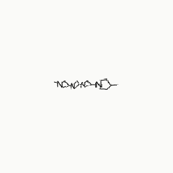 CC1CCN(C2CN(C3CN(C4CN(C)C4)C3)C2)CC1